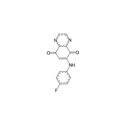 O=C1C=C(Nc2ccc(F)cc2)C(=O)c2nccnc21